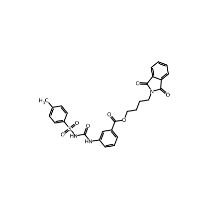 Cc1ccc(S(=O)(=O)NC(=O)Nc2cccc(C(=O)OCCCCN3C(=O)c4ccccc4C3=O)c2)cc1